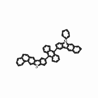 c1ccc(-n2c3ccc(-c4c5ccccc5c(-c5ccc6sc7cc8c(ccc9ccccc98)cc7c6c5)c5ccccc45)cc3c3cc4ccccc4cc32)cc1